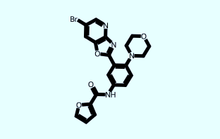 O=C(Nc1ccc(N2CCOCC2)c(-c2nc3ncc(Br)cc3o2)c1)c1ccco1